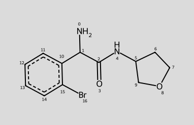 NC(C(=O)NC1CCOC1)c1ccccc1Br